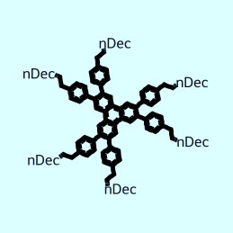 CCCCCCCCCCCCc1ccc(-c2cc3c4cc(-c5ccc(CCCCCCCCCCCC)cc5)c(-c5ccc(CCCCCCCCCCCC)cc5)cc4c4cc(-c5ccc(CCCCCCCCCCCC)cc5)c(-c5ccc(CCCCCCCCCCCC)cc5)cc4c3cc2-c2ccc(CCCCCCCCCCCC)cc2)cc1